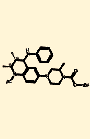 CC(=O)N1c2ccc(N3CCN(C(=O)OC(C)(C)C)C(C)C3)cc2C(Nc2ccccc2)[C@@H](C)[C@@H]1C